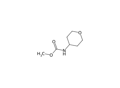 COC(=O)NC1CCOCC1